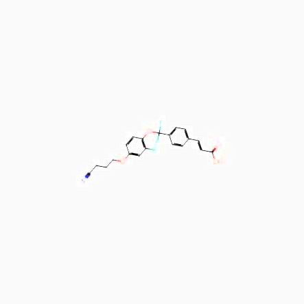 N#CCCCOc1ccc(OC(F)(F)c2ccc(C=CC(=O)O)cc2)c(F)c1